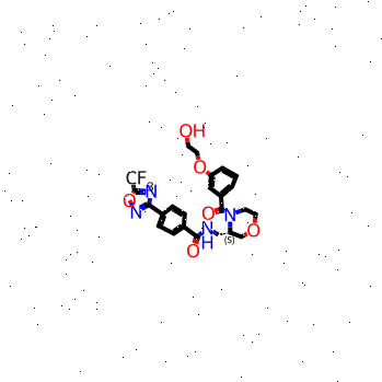 O=C(NC[C@H]1COCCN1C(=O)c1cccc(OCCO)c1)c1ccc(-c2noc(C(F)(F)F)n2)cc1